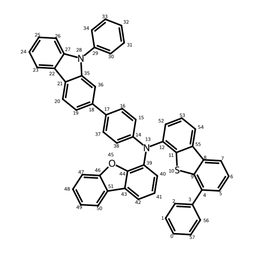 c1ccc(-c2cccc3c2sc2c(N(c4ccc(-c5ccc6c7ccccc7n(-c7ccccc7)c6c5)cc4)c4cccc5c4oc4ccccc45)cccc23)cc1